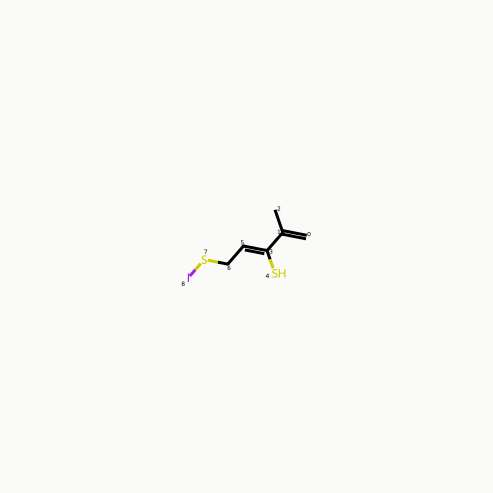 C=C(C)C(S)=CCSI